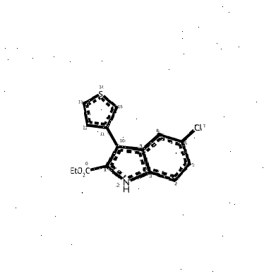 CCOC(=O)c1[nH]c2ccc(Cl)cc2c1-c1ccsc1